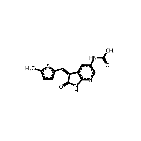 CC(=O)Nc1cnc2c(c1)C(=Cc1ccc(C)s1)C(=O)N2